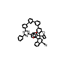 N#Cc1cc2c(c3ccccc13)-c1ccccc1C21c2ccccc2Oc2cc(-c3cccc(-c4cccc(-c5cccc(-c6nc(-c7ccccc7)nc(-c7ccccc7)n6)c5)c4)c3)ccc21